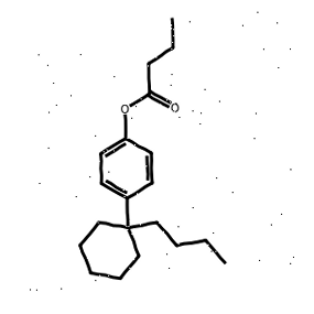 CCCCC1(c2ccc(OC(=O)CCC)cc2)CCCCC1